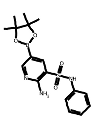 CC1(C)OB(c2cnc(N)c(S(=O)(=O)Nc3ccccc3)c2)OC1(C)C